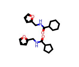 O=C(NCc1ccco1)C1CCCC1.O=C(NCc1ccco1)C1CCCCC1